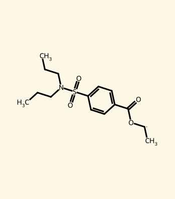 C[CH]OC(=O)c1ccc(S(=O)(=O)N(CCC)CCC)cc1